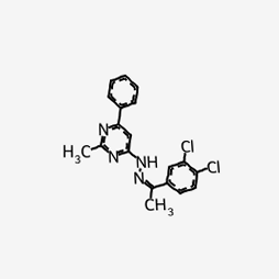 CC(=NNc1cc(-c2ccccc2)nc(C)n1)c1ccc(Cl)c(Cl)c1